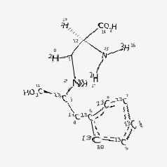 [2H]C(N[13C@@H]([13CH2][13c]1[13cH][13cH][13cH][13cH][13cH]1)[13C](=O)O)[C@@]([2H])(C(=O)O)N([2H])[2H]